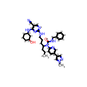 CCCC(CCCNc1ncc(C#N)c(NC2CCCC(O)C2)n1)N(C(=O)NCc1ccccc1)c1ccc(-c2cnn(C)c2)cn1